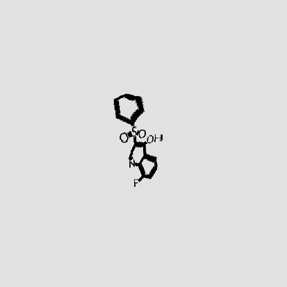 O=S(=O)(c1ccccc1)c1cnc2c(F)cccc2c1O